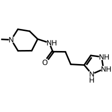 CN1CCC(NC(=O)CCC2=CNNN2)CC1